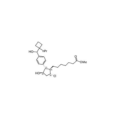 CCCC1(C(O)c2ccc([C@@H]3[C@@H](CCCCCCC(=O)OC)[C@H](Cl)C[C@H]3O)cc2)CCC1